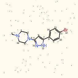 CN1CCN(c2cc(-c3ccc(Br)cc3)[nH]n2)CC1